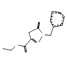 CCOC(=O)C1=NN(Cc2ccccc2)C(=O)C1